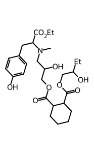 CCOC(=O)C(Cc1ccc(O)cc1)N(C)CC(O)COC(=O)C1CCCCC1C(=O)OCC(O)CC